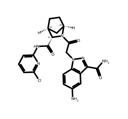 NC(=O)c1nn(CC(=O)N2[C@@H]3CC[C@@H](C3)[C@H]2C(=O)Nc2cccc(Cl)n2)c2ccc(N)cc12